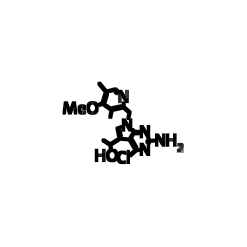 COc1c(C)cnc(Cn2cc(C(C)O)c3c(Cl)nc(N)nc32)c1C